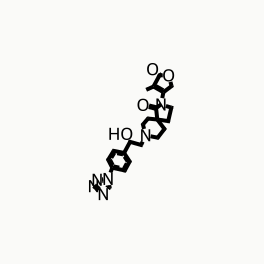 CC1=C(N2CCC3(CCN(C[C@H](O)c4ccc(-n5cnnn5)cc4)CC3)C2=O)COC1=O